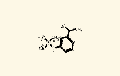 CC(Br)c1cccc(O[Si](C)(C)C(C)(C)C)c1